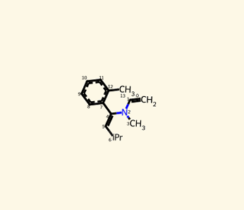 C=CN(C)/C(=C\C(C)C)c1ccccc1C